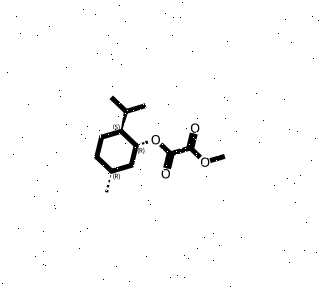 COC(=O)C(=O)O[C@@H]1C[C@H](C)CC[C@H]1C(C)C